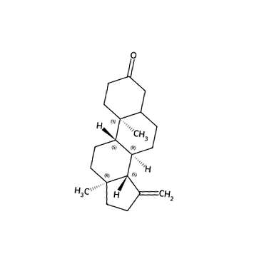 C=C1CC[C@@]2(C)CC[C@H]3[C@@H](CCC4CC(=O)CC[C@@]43C)[C@H]12